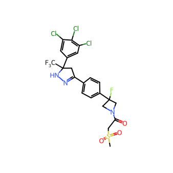 CS(=O)(=O)CC(=O)N1CC(F)(c2ccc(C3=NNC(c4cc(Cl)c(Cl)c(Cl)c4)(C(F)(F)F)C3)cc2)C1